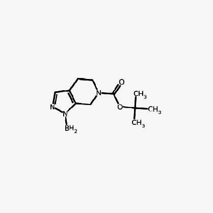 Bn1ncc2c1CN(C(=O)OC(C)(C)C)CC2